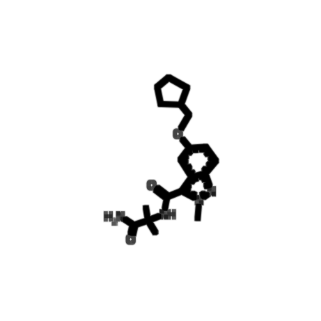 Cn1nc2ccc(OCC3CCCC3)cc2c1C(=O)NC(C)(C)C(N)=O